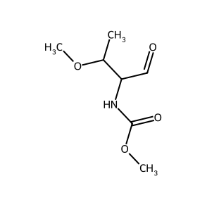 COC(=O)NC(C=O)C(C)OC